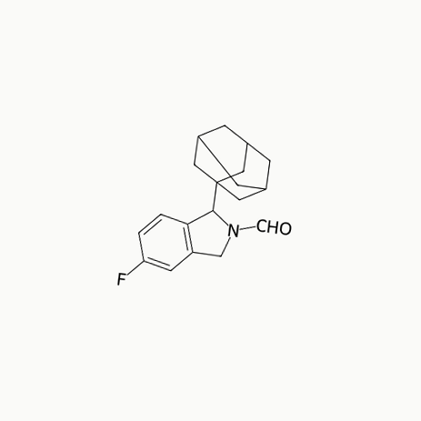 O=CN1Cc2cc(F)ccc2C1C12CC3CC(CC(C3)C1)C2